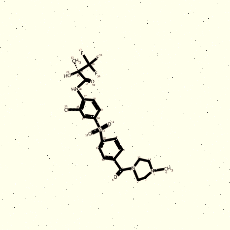 CN1CCN(C(=O)c2ccc(S(=O)(=O)c3ccc(NC(=O)[C@@](C)(O)C(F)(F)F)c(Cl)c3)cc2)CC1